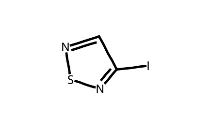 Ic1cnsn1